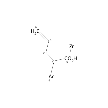 C=CCC(C(C)=O)C(=O)O.[Zr]